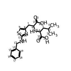 CC(C)CC(NC(Cc1csc(NCc2ccccc2)n1)C(=O)O)C(=O)O